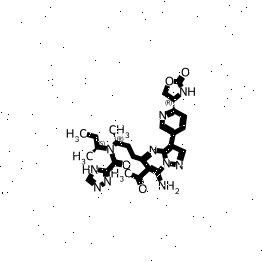 CC[C@H](C)N(C(=O)c1nnc[nH]1)[C@H](C)CCc1nc2c(-c3ccc([C@@H]4COC(=O)N4)nc3)cnn2c(N)c1C(C)=O